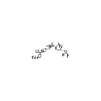 Cc1nc(C2CC2(F)F)ccc1SN1CC2(C1)CN(C(=O)OC(C)(C)C)C2